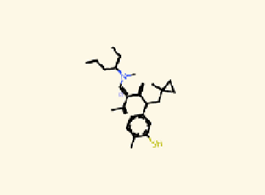 C=C(C)/C(=C/N(C)C(CC)CCC)C(=C)C(CC1(C)CC1)c1ccc(C)c(S)c1